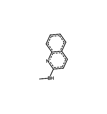 CBc1ccc2ccccc2n1